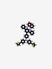 c1ccc(-n2c3ccccc3c3cc(-c4ccc(N(c5ccc(-c6cccs6)cc5)c5ccc(-c6cccs6)cc5)cc4)c4c5ccccc5n(-c5ccccc5)c4c32)cc1